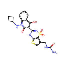 NC(=O)NCc1csc2c1S(=O)(=O)N=C(c1c(O)c3ccccc3n(NC3CCC3)c1=O)N2